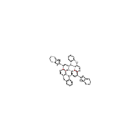 c1ccc2c(c1)Oc1ccccc1N2c1cc(-c2nc3ccccc3s2)ccc1-c1ccc(-c2nc3ccccc3o2)cc1N1c2ccccc2Sc2ccccc21